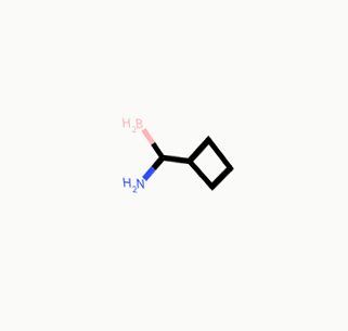 BC(N)C1CCC1